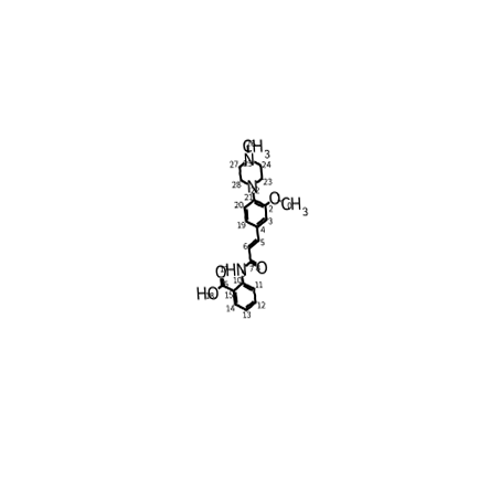 COc1cc(C=CC(=O)Nc2ccccc2C(=O)O)ccc1N1CCN(C)CC1